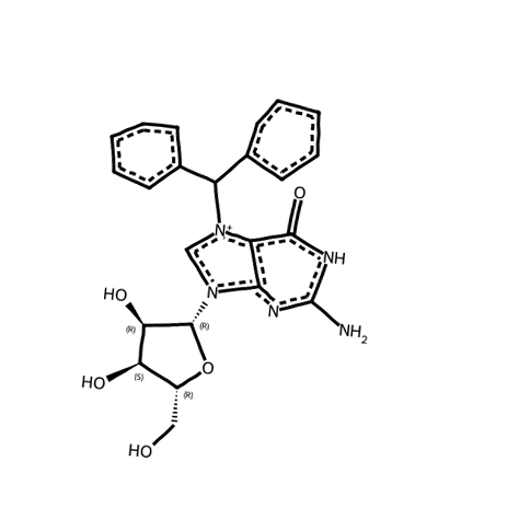 Nc1nc2c(c(=O)[nH]1)[n+](C(c1ccccc1)c1ccccc1)cn2[C@@H]1O[C@H](CO)[C@@H](O)[C@H]1O